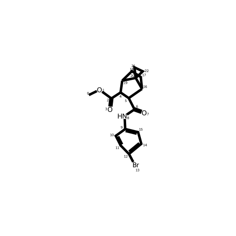 COC(=O)C1C(C(=O)Nc2ccc(Br)cc2)C2CCC1C21CC1